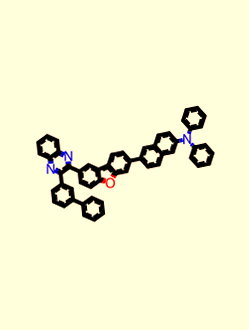 c1ccc(-c2cccc(-c3nc4ccccc4nc3-c3ccc4oc5cc(-c6ccc7cc(N(c8ccccc8)c8ccccc8)ccc7c6)ccc5c4c3)c2)cc1